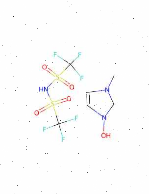 CN1C=CN(O)C1.O=S(=O)(NS(=O)(=O)C(F)(F)F)C(F)(F)F